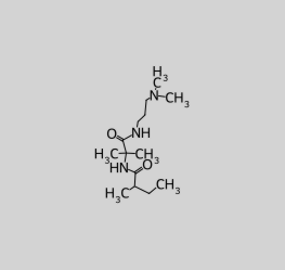 CCC(C)C(=O)NC(C)(C)C(=O)NCCCN(C)C